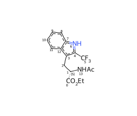 CCOC(=O)[C@H](Cc1c(C(F)(F)F)[nH]c2ccccc12)NC(C)=O